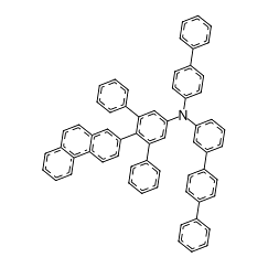 c1ccc(-c2ccc(-c3cccc(N(c4ccc(-c5ccccc5)cc4)c4cc(-c5ccccc5)c(-c5ccc6c(ccc7ccccc76)c5)c(-c5ccccc5)c4)c3)cc2)cc1